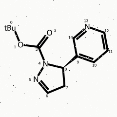 CC(C)(C)OC(=O)N1N=CC[C@@H]1c1cccnc1